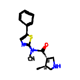 C[C@@H]1CNC[C@H]1C(=O)N(C#N)c1ncc(-c2ccccc2)s1